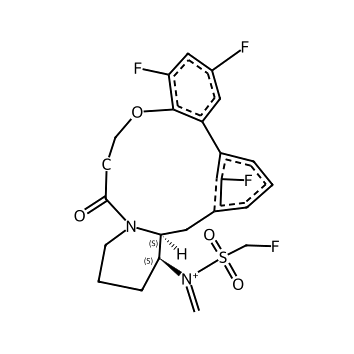 C=[N+]([C@H]1CCCN2C(=O)CCOc3c(F)cc(F)cc3-c3cccc(c3F)C[C@@H]12)S(=O)(=O)CF